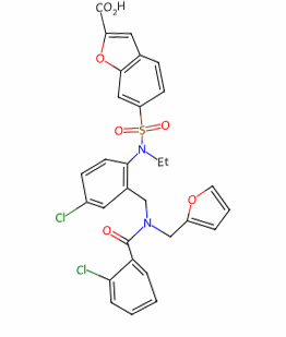 CCN(c1ccc(Cl)cc1CN(Cc1ccco1)C(=O)c1ccccc1Cl)S(=O)(=O)c1ccc2cc(C(=O)O)oc2c1